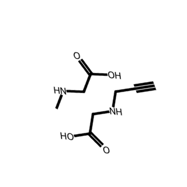 C#CCNCC(=O)O.CNCC(=O)O